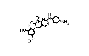 CCOc1cc(O)c(F)c(N2Cc3cnc(NC4CCC(N)CC4)nc3N(CC)C2=O)c1